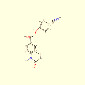 CN1C(=O)CCc2cc(C(=O)COc3ccc(C#N)cc3)ccc21